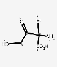 CCC(N)(C(=O)O)C(=O)CO